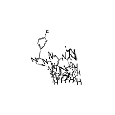 [2H]C([2H])([2H])C([2H])([2H])[C@@H]1c2nnc(C)n2-c2cnc(-n3ccnc3-c3ccc(F)cc3)nc2N1C([2H])(C([2H])([2H])[2H])C([2H])([2H])[2H]